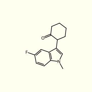 Cn1cc(C2CCCCC2=O)c2cc(F)ccc21